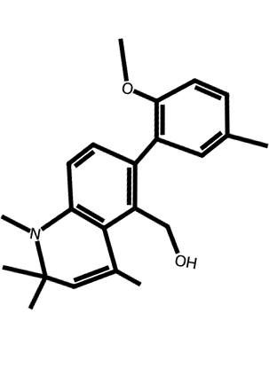 COc1ccc(C)cc1-c1ccc2c(c1CO)C(C)=CC(C)(C)N2C